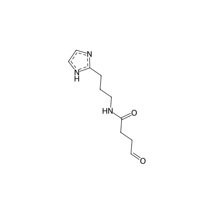 O=CCCC(=O)NCCCc1ncc[nH]1